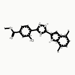 COC(=O)c1ccc(-c2noc(-c3cc4c(C)ccc(C)c4o3)n2)c(Cl)c1